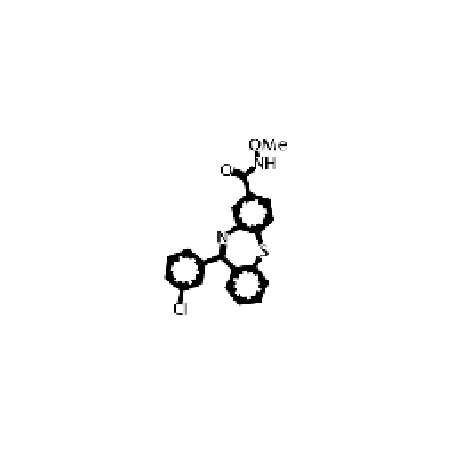 CONC(=O)c1ccc2c(c1)N=C(c1cccc(Cl)c1)c1ccccc1S2